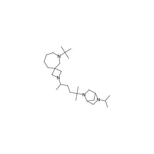 CC(CCC(C)(C)N1CC2CC1CN2C(C)C)N1CC2(CCCCN(C(C)(C)C)C2)C1